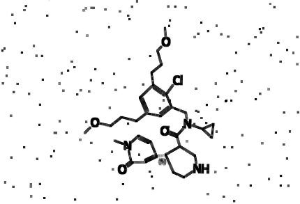 COCCCc1cc(CCCOC)c(Cl)c(CN(C(=O)C2CNCC[C@@H]2c2ccn(C)c(=O)c2)C2CC2)c1